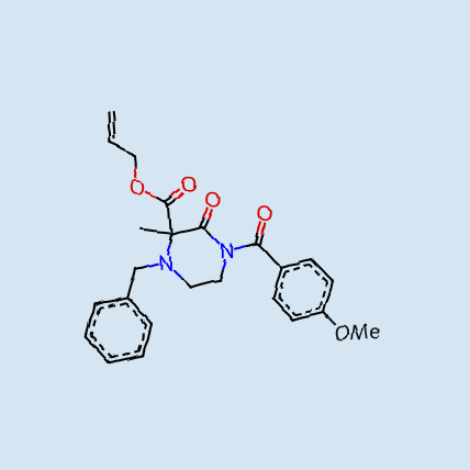 C=CCOC(=O)C1(C)C(=O)N(C(=O)c2ccc(OC)cc2)CCN1Cc1ccccc1